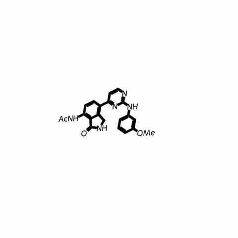 COc1cccc(Nc2nccc(-c3ccc(NC(C)=O)c4c3CNC4=O)n2)c1